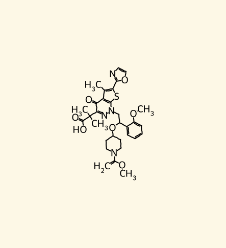 C=C(OC)N1CCC(OC(Cn2nc(C(C)(C)C(=O)O)c(=O)c3c(C)c(-c4ncco4)sc32)c2ccccc2OC)CC1